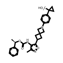 Cc1noc(C2CC3(C2)CN(c2ccc(C4(C(=O)O)CC4)cc2)C3)c1NC(=O)O[C@H](C)c1ccccc1